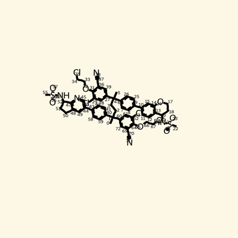 CC(CCC(C)(c1ccc(-c2ccc3c(c2)OCCC3NS(C)(=O)=O)cc1)c1cc(Cl)c(OCCCl)c(C#N)c1)(c1ccc(-c2cnc3c(c2)CCC3NS(C)(=O)=O)cc1)c1cc(Cl)c(OCCCl)c(C#N)c1